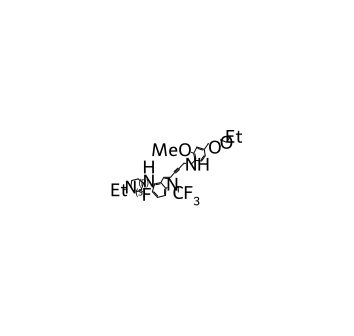 CCOCOCc1ccc(NCC#Cc2cc3c(N[C@@H]4CCN(CC)C[C@@H]4F)cccc3n2CC(F)(F)F)c(OC)c1